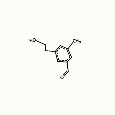 Cc1cc(C=O)cc(CCO)c1